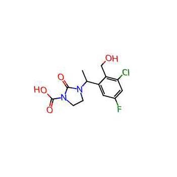 CC(c1cc(F)cc(Cl)c1CO)N1CCN(C(=O)O)C1=O